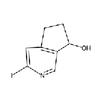 OC1CCc2cc(I)ncc21